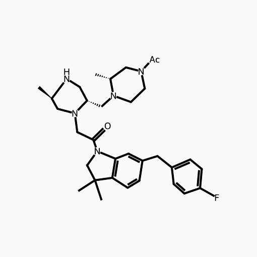 CC(=O)N1CCN(C[C@H]2CN[C@H](C)CN2CC(=O)N2CC(C)(C)c3ccc(Cc4ccc(F)cc4)cc32)[C@H](C)C1